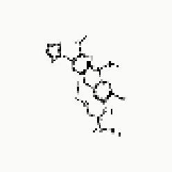 CCOC[C@@H](Nc1nc(Nc2cnc(OC)c(-n3nccn3)c2)c(C(N)=O)cc1F)[C@H](C)N